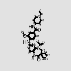 CCN1CCC(NC(=O)c2ccc(Nc3ncc4c(n3)N(C(C)C)CC(CC)(CC)C(=O)N4C)c(OC)c2)CC1